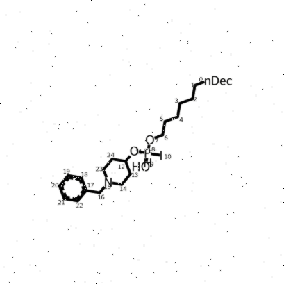 CCCCCCCCCCCCCCCCO[PH](O)(I)OC1CCN(Cc2ccccc2)CC1